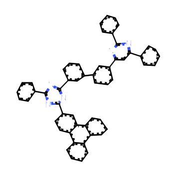 c1ccc(-c2cc(-c3cccc(-c4cccc(-c5nc(-c6ccccc6)nc(-c6ccc7c8ccccc8c8ccccc8c7c6)n5)c4)c3)nc(-c3ccccc3)n2)cc1